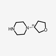 C1CN([C@@H]2CCOC2)CCN1